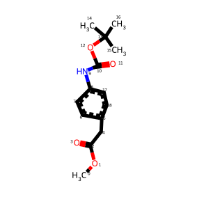 COC(=O)Cc1ccc(NC(=O)OC(C)(C)C)cc1